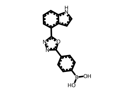 OB(O)c1ccc(-c2nnc(-c3cccc4[nH]ccc34)o2)cc1